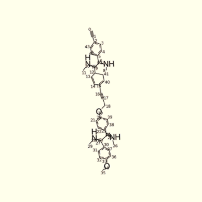 C#Cc1ccc([C@@H](NC)[C@H](NC)C2C=CC(C#CCOc3ccc([C@@H](NC)[C@H](NC)c4ccc(OC)cc4)cc3)=CC2)cc1